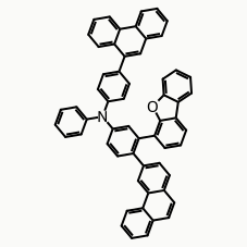 c1ccc(N(c2ccc(-c3cc4ccccc4c4ccccc34)cc2)c2ccc(-c3ccc4ccc5ccccc5c4c3)c(-c3cccc4c3oc3ccccc34)c2)cc1